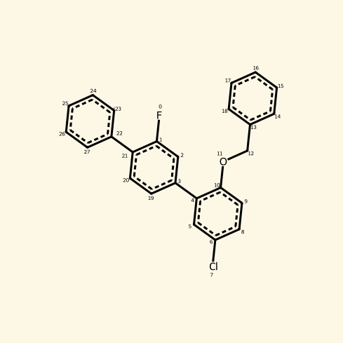 Fc1cc(-c2cc(Cl)ccc2OCc2ccccc2)ccc1-c1[c]cccc1